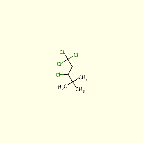 [CH2]C(C)(C)C(Cl)CC(Cl)(Cl)Cl